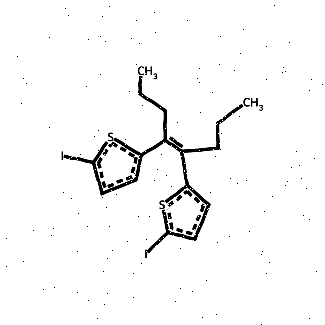 CCCC(=C(CCC)c1ccc(I)s1)c1ccc(I)s1